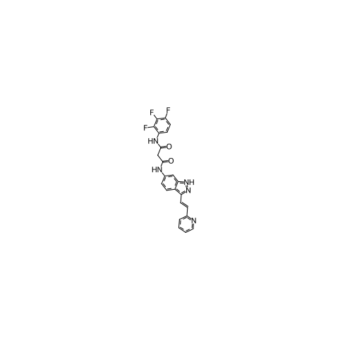 O=C(CC(=O)Nc1ccc(F)c(F)c1F)Nc1ccc2c(C=Cc3ccccn3)n[nH]c2c1